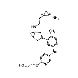 Cc1cnc(Nc2ccc(OCCO)nc2)nc1N1CC2CC2(NCC[C@H]2C[C@@H]2N)C1